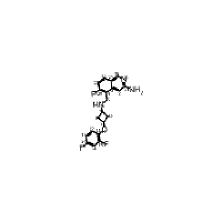 Nc1cc2c(CNC3CC(Oc4ccc(F)cc4F)C3)c(F)ccc2cn1